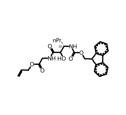 C=CCOC(=O)CNC(=O)C(O)[C@H](CCC)NC(=O)OCC1c2ccccc2-c2ccccc21